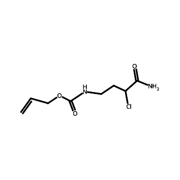 C=CCOC(=O)NCCC(Cl)C(N)=O